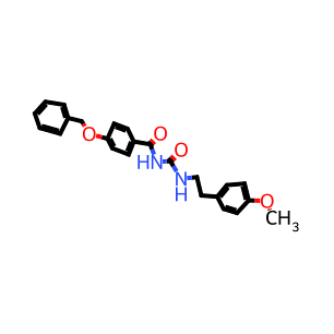 COc1ccc(CCNC(=O)NC(=O)c2ccc(OCc3ccccc3)cc2)cc1